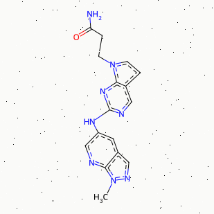 Cn1ncc2cc(Nc3ncc4ccn(CCC(N)=O)c4n3)cnc21